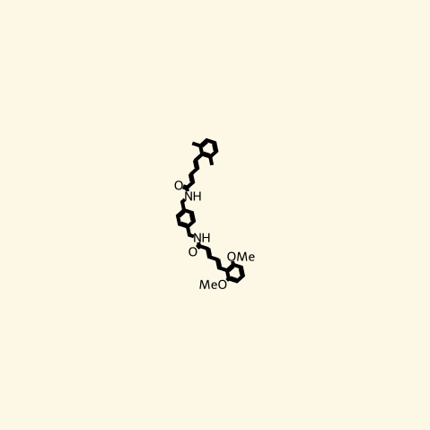 COc1cccc(OC)c1/C=C/C=C/C(=O)NCc1ccc(CNC(=O)/C=C/C=C/c2c(C)cccc2C)cc1